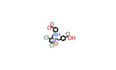 COC(=O)c1cccc(NCc2c(Cl)cc(Cl)c(=O)n2CCc2ccc(C(=O)O)cc2)c1